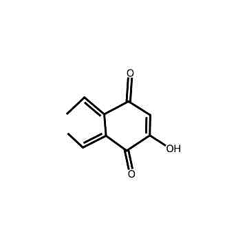 C/C=C1/C(=O)C=C(O)C(=O)/C1=C/C